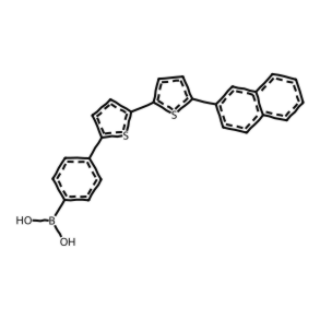 OB(O)c1ccc(-c2ccc(-c3ccc(-c4ccc5ccccc5c4)s3)s2)cc1